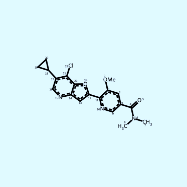 COc1cc(C(=O)N(C)C)cnc1-c1cc2ncc(C3CC3)c(Cl)c2o1